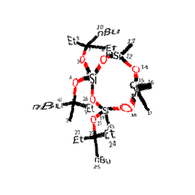 CCCCC(C)(CC)O[Si]1(OC(CC)(CC)CCCC)O[SiH](C)O[Si](C)(C)O[Si](C)(OC(CC)(CC)CCCC)O1